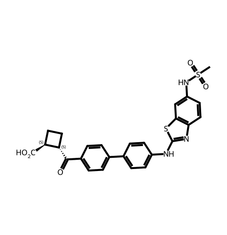 CS(=O)(=O)Nc1ccc2nc(Nc3ccc(-c4ccc(C(=O)[C@H]5CC[C@@H]5C(=O)O)cc4)cc3)sc2c1